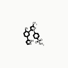 CC(C)c1ccc(-c2ccn[nH]2)cc1-c1cc(C(F)(F)F)nn1-c1ccc(S(N)(=O)=O)cc1